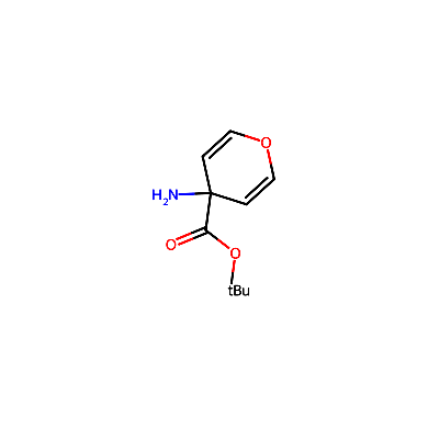 CC(C)(C)OC(=O)C1(N)C=COC=C1